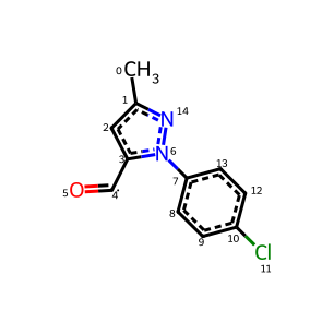 Cc1cc([C]=O)n(-c2ccc(Cl)cc2)n1